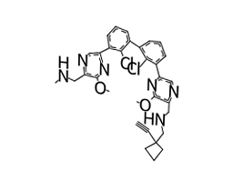 C#CC1(CNCc2ncc(-c3cccc(-c4cccc(-c5cnc(CNC)c(OC)n5)c4Cl)c3Cl)nc2OC)CCC1